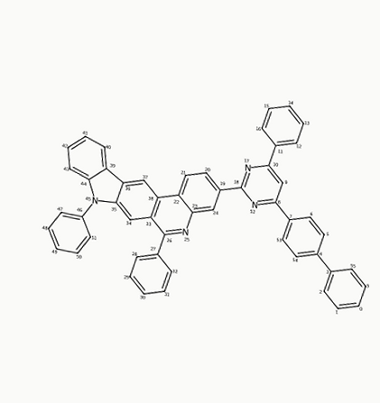 c1ccc(-c2ccc(-c3cc(-c4ccccc4)nc(-c4ccc5c(c4)nc(-c4ccccc4)c4cc6c(cc45)c4ccccc4n6-c4ccccc4)n3)cc2)cc1